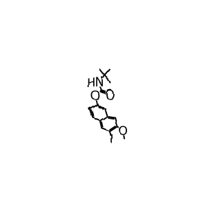 COc1cc2cc(OC(=O)NC(C)(C)C)ccc2cc1I